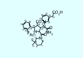 CC(=O)N1C(C(=O)N2CCCC(C)(C)C2)C(N(C(N)=O)c2cccc(CC(=O)O)c2)C(C(=O)O)C1c1ccccc1F